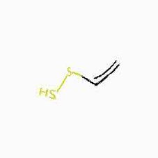 C=CSS